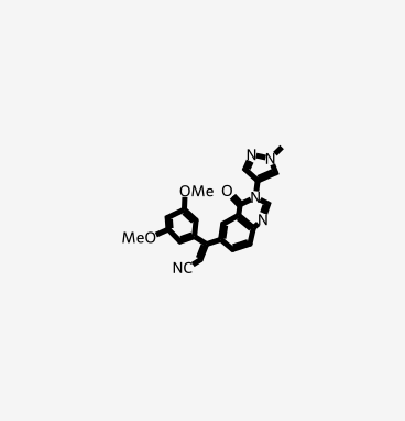 COc1cc(OC)cc(/C(=C\C#N)c2ccc3ncn(-c4cnn(C)c4)c(=O)c3c2)c1